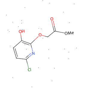 COC(=O)COc1nc(Cl)ccc1O